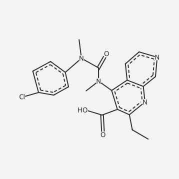 CCc1nc2cnccc2c(N(C)C(=O)N(C)c2ccc(Cl)cc2)c1C(=O)O